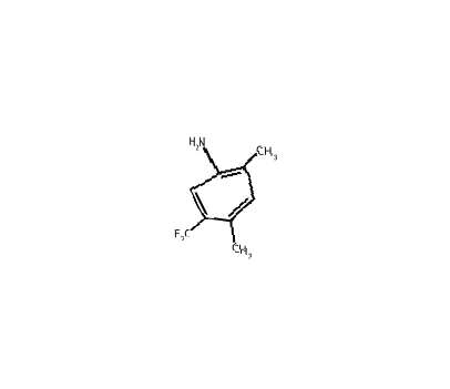 Cc1cc(C)c(C(F)(F)F)cc1N